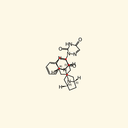 O=c1cnn(-c2nc3ccccc3n(C3C[C@H]4CC[C@@H](C3)N4C3C[C@H]4CCC[C@@H](C3)C4)c2=O)c(=O)[nH]1